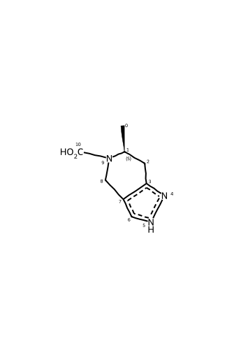 C[C@H]1Cc2n[nH]cc2CN1C(=O)O